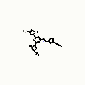 CC#Cc1ccc(/C=C/c2cc(-c3cc(C(F)(F)F)n[nH]3)nc(-c3cc(C(F)(F)F)n[nH]3)c2)s1